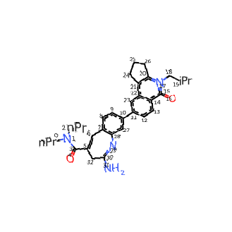 CCCN(CCC)C(=O)C1=Cc2ccc(-c3ccc4c(=O)n(CC(C)C)c5c(c4c3)CCC5)cc2N=C(N)C1